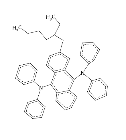 CCCCC(CC)Cc1ccc2c(N(c3ccccc3)c3ccccc3)c3ccccc3c(N(c3ccccc3)c3ccccc3)c2c1